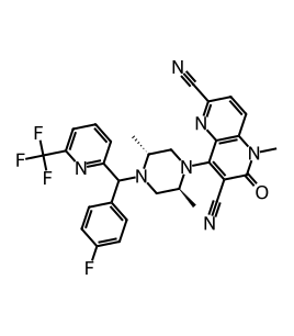 C[C@@H]1CN(c2c(C#N)c(=O)n(C)c3ccc(C#N)nc23)[C@@H](C)CN1C(c1ccc(F)cc1)c1cccc(C(F)(F)F)n1